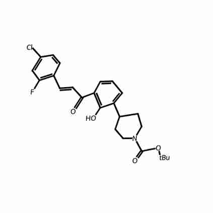 CC(C)(C)OC(=O)N1CCC(c2cccc(C(=O)C=Cc3ccc(Cl)cc3F)c2O)CC1